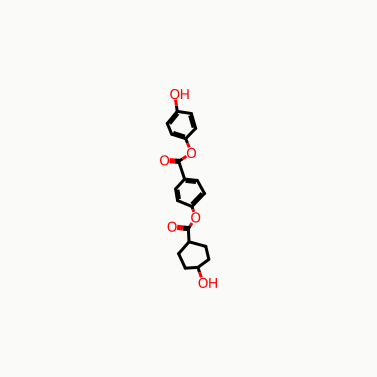 O=C(Oc1ccc(O)cc1)c1ccc(OC(=O)C2CCC(O)CC2)cc1